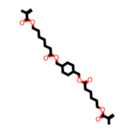 C=C(C)C(=O)OCCCCCCC(=O)OCC1CCC(COC(=O)CCCCCOC(=O)C(=C)C)CC1